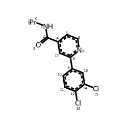 CC(C)NC(=O)c1ccnc(-c2ccc(Cl)c(Cl)c2)c1